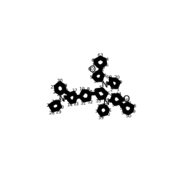 c1ccc(N(c2cc(-c3ccc(-c4ccc5c(c4)c4ccccc4n5-c4ccccc4)cc3)cc(N(c3ccccc3)c3ccc4oc5ccccc5c4c3)c2)c2ccc3oc4ccccc4c3c2)cc1